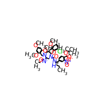 CCC[C@@H](NC(=O)N1C/C(=N/OCC)N(Cc2c(OC)cc(OC)cc2OC)C[C@@H](Cc2cc(Cl)ccc2OC)C1=O)c1ccc(C(=O)OC(C)(C)C)c([N+](=O)[O-])c1